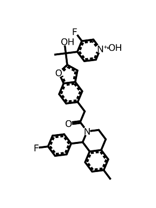 Cc1ccc2c(c1)CCN(C(=O)Cc1ccc3oc(C(C)(O)c4cc[n+](O)cc4F)cc3c1)C2c1ccc(F)cc1